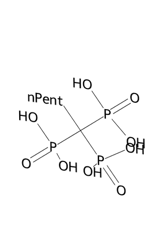 [CH2]CCCCC(P(=O)(O)O)(P(=O)(O)O)P(=O)(O)O